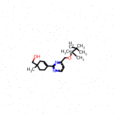 CC1(CO)CC=C(c2nccc(CO[Si](C)(C)C(C)(C)C)n2)CC1